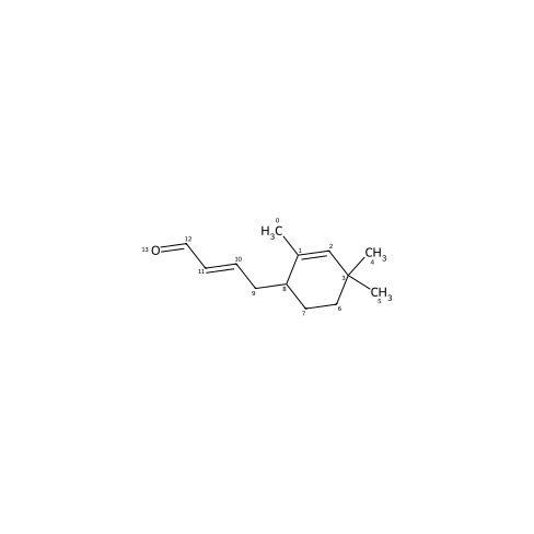 CC1=CC(C)(C)CCC1CC=CC=O